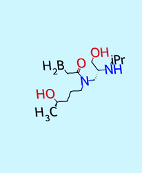 BCC(=O)N(CCC[C@@H](C)O)C[C@H](CO)NC(C)C